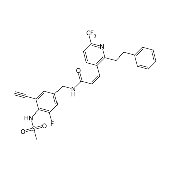 C#Cc1cc(CNC(=O)/C=C\c2ccc(C(F)(F)F)nc2CCc2ccccc2)cc(F)c1NS(C)(=O)=O